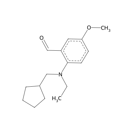 CCN(CC1CCCC1)c1ccc(OC)cc1C=O